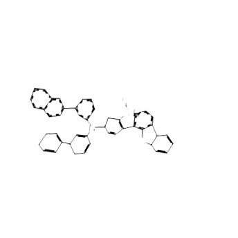 C[SiH]1C2=C(C=CC(N(C3=CC(C4=CCCC=C4)CC=C3)c3cccc(-c4ccc5ccccc5c4)c3)C2)c2c1ccc1c2OC2C=CC=CC12